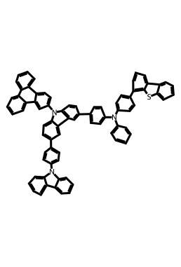 c1ccc(N(c2ccc(-c3ccc4c(c3)c3cc(-c5ccc(-n6c7ccccc7c7ccccc76)cc5)ccc3n4-c3ccc4c5ccccc5c5ccccc5c4c3)cc2)c2ccc(-c3cccc4c3sc3ccccc34)cc2)cc1